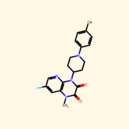 Cn1c(=O)c(=O)n(C2CCN(c3ccc(C#N)cc3)CC2)c2ncc(F)cc21